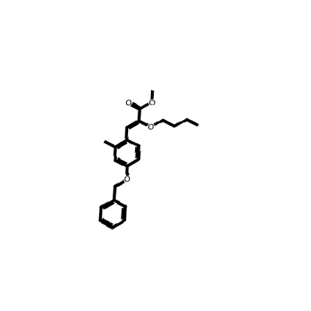 CCCCO/C(=C\c1ccc(OCc2ccccc2)cc1C)C(=O)OC